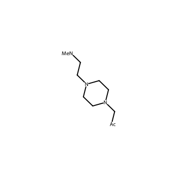 CNCCN1CCN(CC(C)=O)CC1